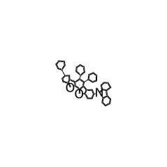 c1ccc(-c2ccc3oc4c5oc6ccc(-n7c8ccccc8c8ccccc87)cc6c5c(-c5ccccc5)c(-c5ccccc5)c4c3c2)cc1